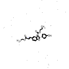 CCCOC(=O)[C@@H]1c2cc(/C=C/C(=O)OCC)ccc2O[C@H]1c1ccc(O)cc1